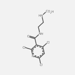 O=C(O)NCCNC(=O)c1c(Cl)cc(Cl)nc1Cl